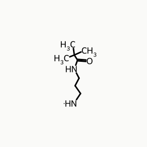 CC(C)(C)C(=O)NCCC[NH]